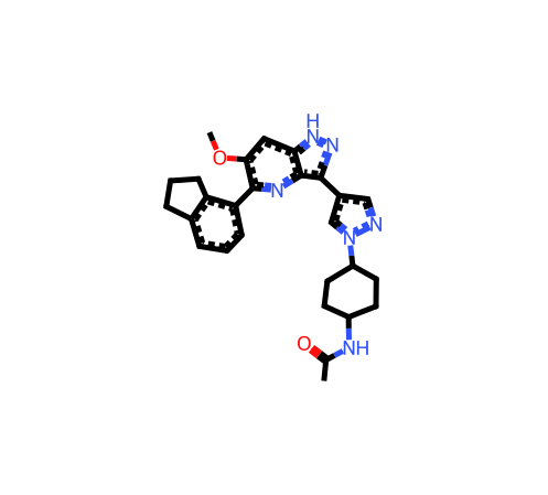 COc1cc2[nH]nc(-c3cnn(C4CCC(NC(C)=O)CC4)c3)c2nc1-c1cccc2c1CCC2